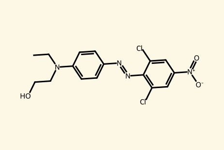 CCN(CCO)c1ccc(N=Nc2c(Cl)cc([N+](=O)[O-])cc2Cl)cc1